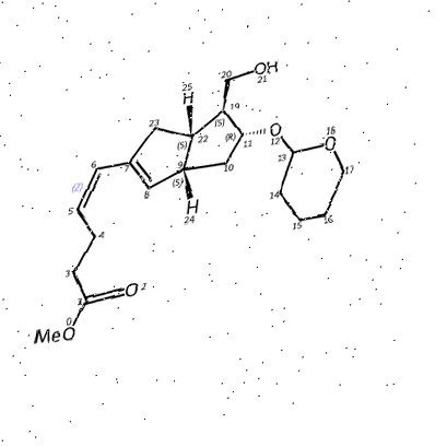 COC(=O)CC/C=C\C1=C[C@H]2C[C@@H](OC3CCCCO3)[C@H](CO)[C@H]2C1